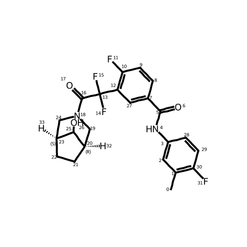 Cc1cc(NC(=O)c2ccc(F)c(C(F)(F)C(=O)N3C[C@H]4CC[C@@H](C3)C4O)c2)ccc1F